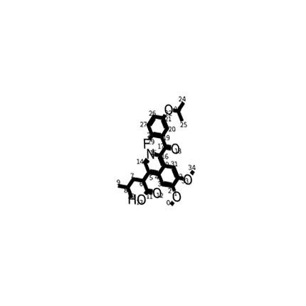 COc1cc2c(C(CC(C)C)C(=O)O)cnc(C(=O)c3cc(OC(C)C)ccc3F)c2cc1OC